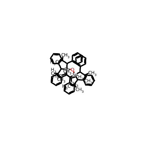 CC(C)[CH](c1ccccc1)[Sn]([O][Sn]([CH](c1ccccc1)C(C)C)([CH](c1ccccc1)C(C)C)[CH](c1ccccc1)C(C)C)([CH](c1ccccc1)C(C)C)[CH](c1ccccc1)C(C)C